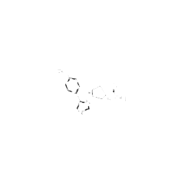 O=C(O)[C@H]1CC[C@@H](n2cncc2-c2ccc(Br)cc2)C1